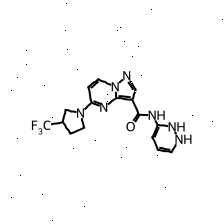 O=C(NC1=CC=CNN1)c1cnn2ccc(N3CCC(C(F)(F)F)C3)nc12